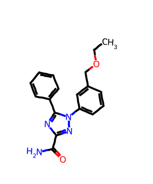 CCOCc1cccc(-n2nc(C(N)=O)nc2-c2ccccc2)c1